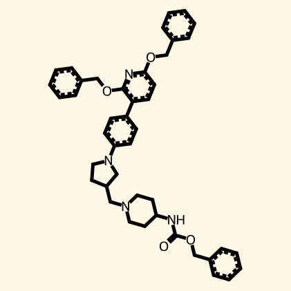 O=C(NC1CCN(CC2CCN(c3ccc(-c4ccc(OCc5ccccc5)nc4OCc4ccccc4)cc3)C2)CC1)OCc1ccccc1